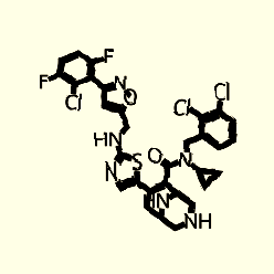 O=C(C1=C(c2cnc(NCc3cc(-c4c(F)ccc(F)c4Cl)no3)s2)CC2CNCC1N2)N(Cc1cccc(Cl)c1Cl)C1CC1